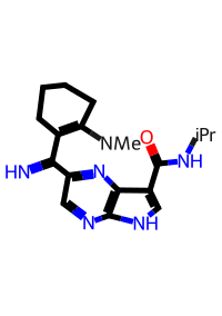 CNC1=C(C(=N)c2cnc3[nH]cc(C(=O)NC(C)C)c3n2)CCCC1